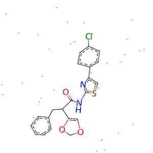 O=C(Nc1nc(-c2ccc(Cl)cc2)cs1)C(Cc1ccccc1)C1=COCO1